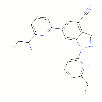 CCC(N)c1cccc(-c2cc(C#N)c3cnn(-c4cccc(CO)n4)c3c2)n1